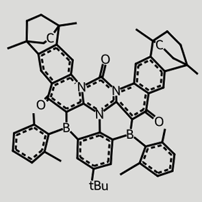 Cc1cccc(C)c1B1c2cc(C(C)(C)C)cc3c2-n2c4c1c(=O)c1cc5c(cc1n4c(=O)n1c4cc6c(cc4c(=O)c(c21)B3c1c(C)cccc1C)C1(C)CCC6(C)CC1)C1(C)CCC5(C)CC1